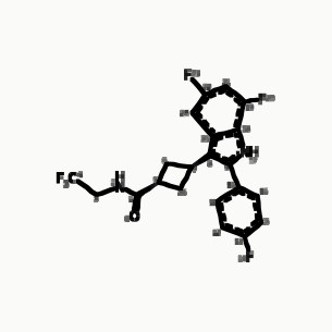 O=C(NCC(F)(F)F)[C@H]1C[C@@H](c2c(-c3ccc(F)cc3)[nH]c3c(F)cc(F)cc32)C1